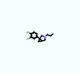 CCCN1CC2CC2(c2ccc(F)c(F)c2)C1